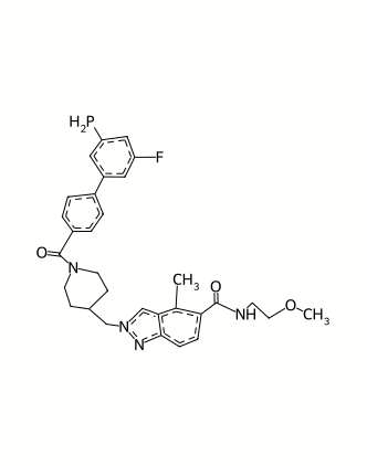 COCCNC(=O)c1ccc2nn(CC3CCN(C(=O)c4ccc(-c5cc(F)cc(P)c5)cc4)CC3)cc2c1C